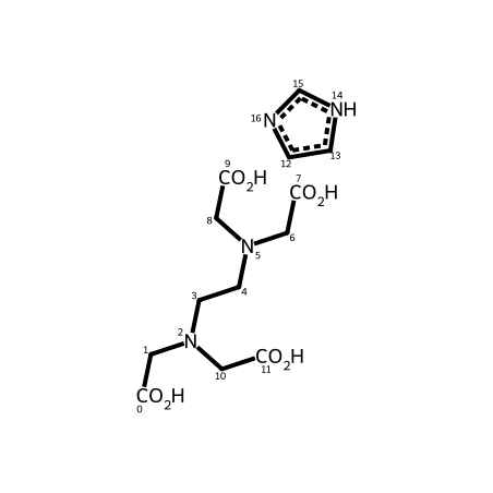 O=C(O)CN(CCN(CC(=O)O)CC(=O)O)CC(=O)O.c1c[nH]cn1